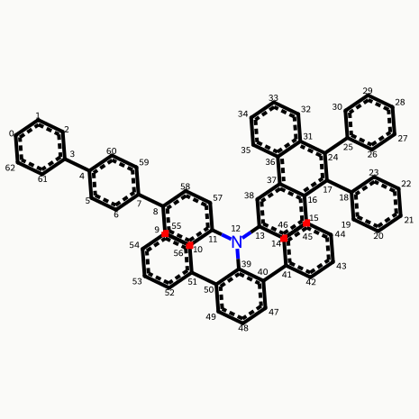 c1ccc(-c2ccc(-c3ccc(N(c4ccc5c(-c6ccccc6)c(-c6ccccc6)c6ccccc6c5c4)c4c(-c5ccccc5)cccc4-c4ccccc4)cc3)cc2)cc1